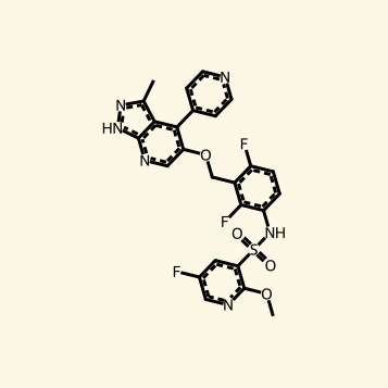 COc1ncc(F)cc1S(=O)(=O)Nc1ccc(F)c(COc2cnc3[nH]nc(C)c3c2-c2ccncc2)c1F